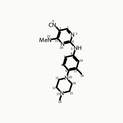 [C-]#[N+]c1cnc(Nc2ccc(N3CCN(C)CC3)c(C)c2)nc1NC